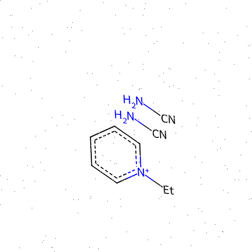 CC[n+]1ccccc1.N#CN.N#CN